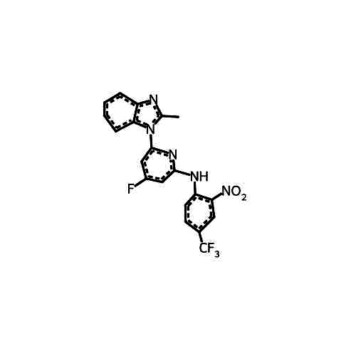 Cc1nc2ccccc2n1-c1cc(F)cc(Nc2ccc(C(F)(F)F)cc2[N+](=O)[O-])n1